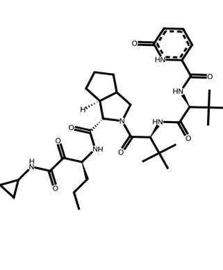 CCC[C@H](NC(=O)[C@@H]1[C@H]2CCCC2CN1C(=O)[C@@H](NC(=O)[C@@H](NC(=O)c1cccc(=O)[nH]1)C(C)(C)C)C(C)(C)C)C(=O)C(=O)NC1CC1